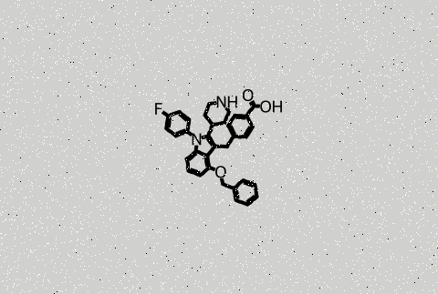 O=C(O)c1ccc(Cc2c(C3CCNCC3)n(-c3ccc(F)cc3)c3cccc(OCc4ccccc4)c23)cc1